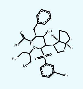 CCC(CC)ON(C([C@H](O)[C@H](Cc1ccccc1)NC(=O)O)[C@@H]1CO[C@H]2OCC[C@H]21)S(=O)(=O)c1cccc(N)c1